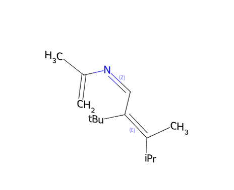 C=C(C)/N=C\C(=C(/C)C(C)C)C(C)(C)C